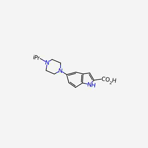 CC(C)N1CCN(c2ccc3[nH]c(C(=O)O)cc3c2)CC1